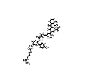 BBSSCCOC(=O)NNC(=O)[C@@H](C)C[C@H](Cc1ccc(O)cc1)NC(=O)c1csc([C@@H](CC(C(C)C)N(COC(=O)CCC)C(=O)C(NC(=O)[C@H]2CCCCN2C)C(C)CC)OC(C)=O)n1